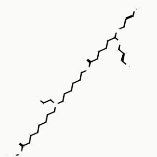 CCC/C=C/COC(CCCCC(=O)OCCCCCCN(CCO)CCCCCCCC(=O)OCCCCCCCCC)OC/C=C/CCC